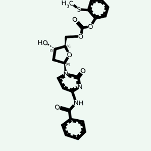 CSc1ccccc1OC(=O)OC[C@H]1O[C@@H](n2ccc(NC(=O)c3ccccc3)nc2=O)C[C@@H]1O